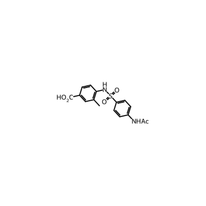 CC(=O)Nc1ccc(S(=O)(=O)Nc2ccc(C(=O)O)cc2C)cc1